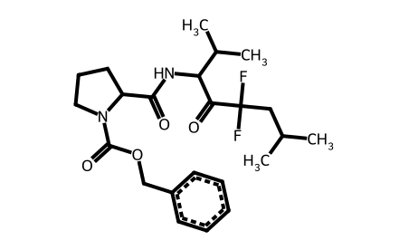 CC(C)CC(F)(F)C(=O)C(NC(=O)C1CCCN1C(=O)OCc1ccccc1)C(C)C